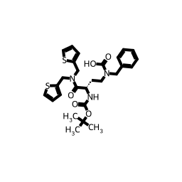 CC(C)(C)OC(=O)N[C@@H](CCN(Cc1ccccc1)C(=O)O)C(=O)N(Cc1cccs1)Cc1cccs1